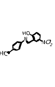 C#Cc1ccc(/N=C/c2cc([N+](=O)[O-])ccc2O)cc1